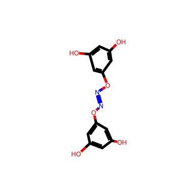 Oc1cc(O)cc(ON=NOc2cc(O)cc(O)c2)c1